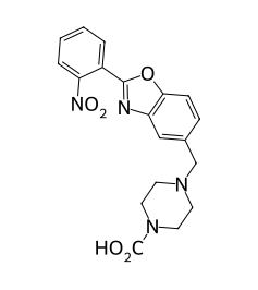 O=C(O)N1CCN(Cc2ccc3oc(-c4ccccc4[N+](=O)[O-])nc3c2)CC1